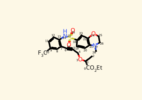 CCOC(=O)C(C)OCC#Cc1cc(C(F)(F)F)ccc1NS(=O)(=O)c1ccc2c(c1)OCCN2C